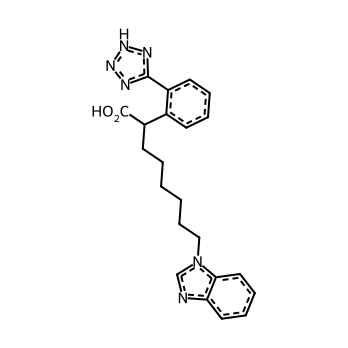 O=C(O)C(CCCCCCn1cnc2ccccc21)c1ccccc1-c1nn[nH]n1